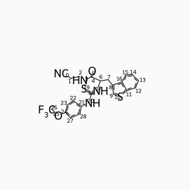 N#CCCNC(=O)C(Cc1csc2ccccc12)NC(=S)Nc1ccc(OC(F)(F)F)cc1